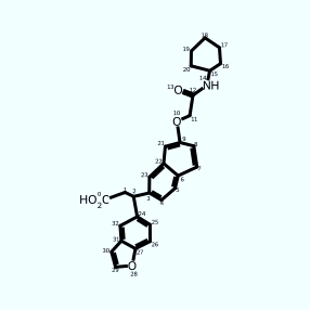 O=C(O)CC(c1ccc2ccc(OCC(=O)NC3CCCCC3)cc2c1)c1ccc2occc2c1